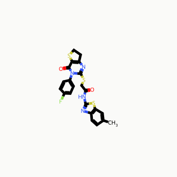 Cc1ccc2nc(NC(=O)CSc3nc4c(c(=O)n3-c3ccc(F)cc3)SCC4)sc2c1